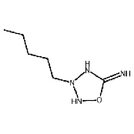 CCCCCN1NOC(=N)N1